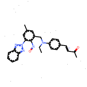 CCN(Cc1cc(C)cc(-n2nc3ccccc3n2)c1N=O)c1ccc(/C=C/C(C)=O)cc1